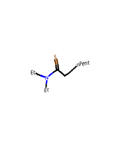 CCCCCCC(=S)N(CC)CC